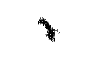 Cc1nc(N2C[C@H]3C[C@H]3C2=O)ncc1Cn1cc(NC(=O)c2nc(-c3c(C(F)F)ccc(Cl)c3F)cnc2C)cn1